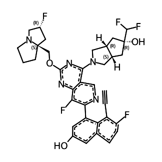 C#Cc1c(F)ccc2cc(O)cc(-c3ncc4c(N5C[C@@H]6C[C@@](O)(C(F)F)C[C@@H]6C5)nc(OC[C@@]56CCCN5C[C@H](F)C6)nc4c3F)c12